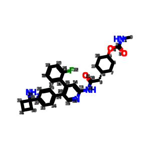 CNC(=O)O[C@H]1CC[C@H](CC(=O)Nc2cc(-c3ccccc3F)c(-c3ccc(C4(N)CCC4)cc3)cn2)CC1